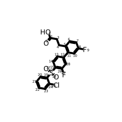 O=C(O)CCc1ccc(F)cc1-c1ccc(S(=O)(=O)c2ccccc2Cl)c(F)c1